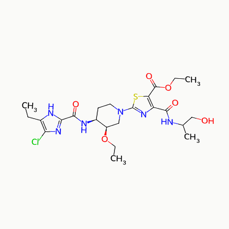 CCOC(=O)c1sc(N2CC[C@H](NC(=O)c3nc(Cl)c(CC)[nH]3)[C@H](OCC)C2)nc1C(=O)NC(C)CO